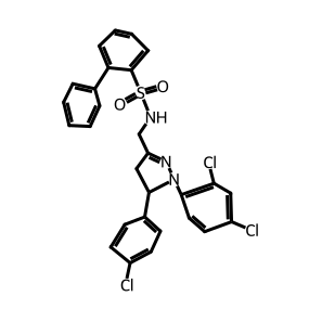 O=S(=O)(NCC1=NN(c2ccc(Cl)cc2Cl)C(c2ccc(Cl)cc2)C1)c1ccccc1-c1ccccc1